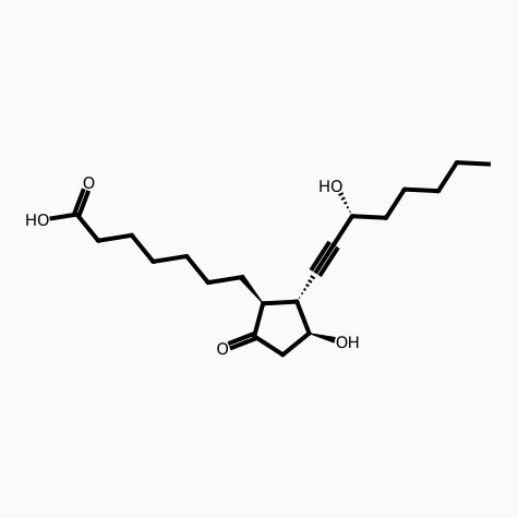 CCCCC[C@@H](O)C#C[C@H]1[C@H](CCCCCCC(=O)O)C(=O)C[C@@H]1O